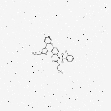 CCOC(=O)N(c1ccc(F)c(-c2nn(CC)cc2-c2ccncc2)c1F)S(=O)(=O)c1ccccc1F